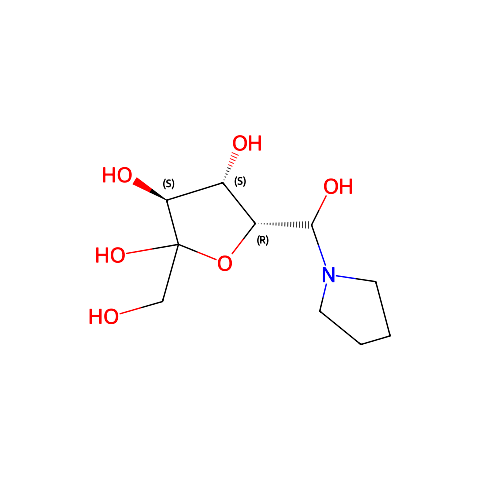 OCC1(O)O[C@@H](C(O)N2CCCC2)[C@@H](O)[C@@H]1O